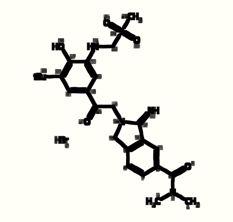 Br.CN(C)C(=O)c1ccc2c(c1)C(=N)N(CC(=O)c1cc(NCS(C)(=O)=O)c(O)c(C(C)(C)C)c1)C2